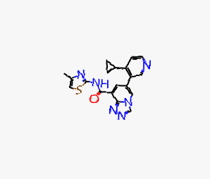 Cc1csc(NC(=O)c2cc(-c3cnccc3C3CC3)cn3cnnc23)n1